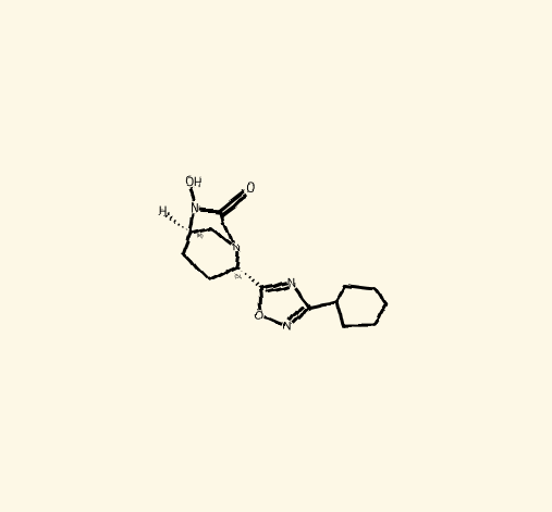 O=C1N(O)[C@@H]2CC[C@@H](c3nc(C4CCCCC4)no3)N1C2